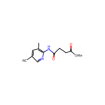 COC(=O)CCC(=O)Nc1ncc(C#N)cc1C